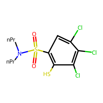 CCCN(CCC)S(=O)(=O)c1cc(Cl)c(Cl)c(Cl)c1S